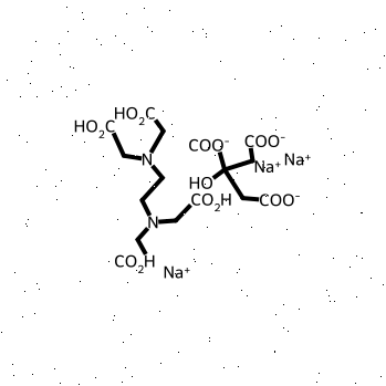 O=C(O)CN(CCN(CC(=O)O)CC(=O)O)CC(=O)O.O=C([O-])CC(O)(CC(=O)[O-])C(=O)[O-].[Na+].[Na+].[Na+]